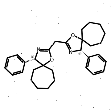 c1ccc([C@@H]2N=C(CC3=N[C@@H](c4ccccc4)C4(CCCCCC4)O3)OC23CCCCCC3)cc1